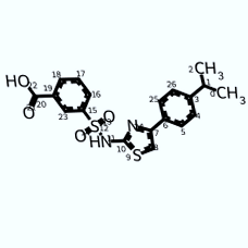 CC(C)c1ccc(-c2csc(NS(=O)(=O)c3cccc(C(=O)O)c3)n2)cc1